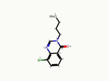 COCCCn1cnc2c(Br)cccc2c1=O